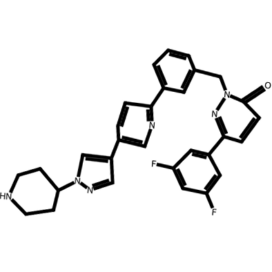 O=c1ccc(-c2cc(F)cc(F)c2)nn1Cc1cccc(-c2ccc(-c3cnn(C4CCNCC4)c3)cn2)c1